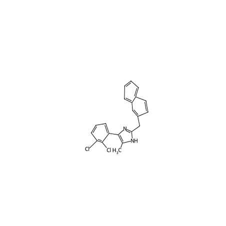 Cc1[nH]c(Cc2ccc3ccccc3c2)nc1-c1cccc(Cl)c1Cl